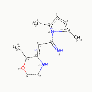 Cc1ccc(C)n1C(=N)/C=C1\NCCOC1C